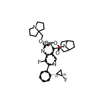 CC(C)(C)OC(=O)N1C2CCC1CN(c1nc(OCC34CCCN3CCC4)nc3c(F)c(-c4ccccc4[C@@H]4C[C@H]4F)ncc13)C2